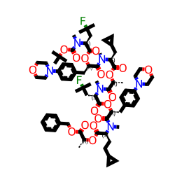 C[C@@H](OC(=O)[C@H](CCC1CC1)N(C)C(=O)[C@@H](Cc1ccc(N2CCOCC2)cc1)OC(=O)[C@H](CC(C)(C)F)N(C)C(=O)[C@@H](C)OC(=O)[C@H](CC1CC1)N(C)C(=O)[C@@H](Cc1ccc(N2CCOCC2)cc1)OC(=O)[C@H](CC(C)(C)F)N(C)C(=O)OC(C)(C)C)C(=O)OCc1ccccc1